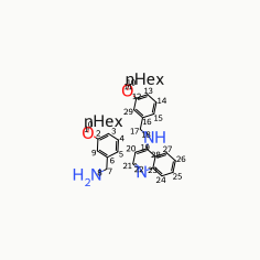 CCCCCCOc1cccc(CN)c1.CCCCCCOc1cccc(CNc2ccnc3ccccc23)c1